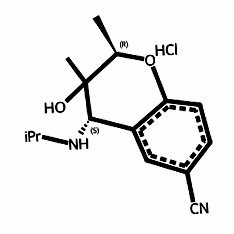 CC(C)N[C@H]1c2cc(C#N)ccc2O[C@H](C)C1(C)O.Cl